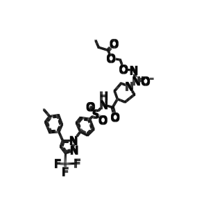 CCC(=O)OCO/N=[N+](/[O-])N1CCC(C(=O)NS(=O)(=O)c2ccc(-n3nc(C(F)(F)F)cc3-c3ccc(C)cc3)cc2)CC1